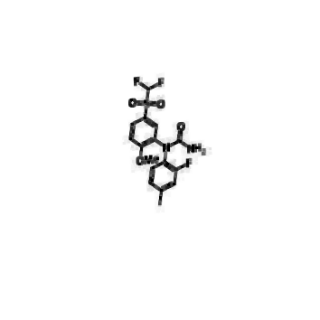 COc1ccc(S(=O)(=O)C(F)F)cc1N(C(N)=O)c1ccc(C)cc1F